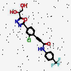 O=C(C#Cc1ccc(-c2nnc([C@@H](O)CO)o2)cc1Cl)Nc1ccc(C(F)(F)F)cc1